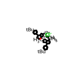 C/[CH]=[Zr+2](/[CH]1C(C(C)C)=Cc2c(-c3ccc(C(C)(C)C)cc3)cccc21)[CH]1C(C)=Cc2c(-c3ccc(C(C)(C)C)cc3)ccc(C)c21.[Cl-].[Cl-]